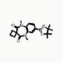 CN1C(=O)C2(CCC2)C(=O)N(C)c2cc(B3OC(C)(C)C(C)(C)O3)ccc21